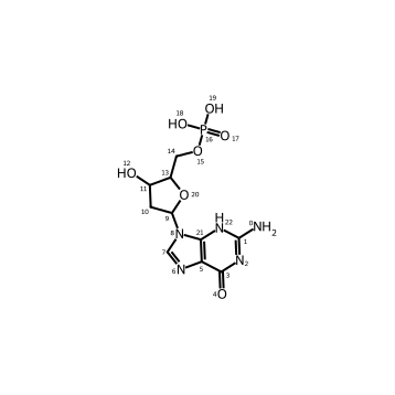 Nc1nc(=O)c2ncn(C3CC(O)C(COP(=O)(O)O)O3)c2[nH]1